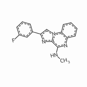 CNc1nc2ccccc2n2cc(-c3cccc(F)c3)nc12